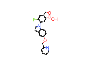 OB1OCc2cc(F)c(-n3ccc4cc(OCc5ccccn5)ccc43)cc21